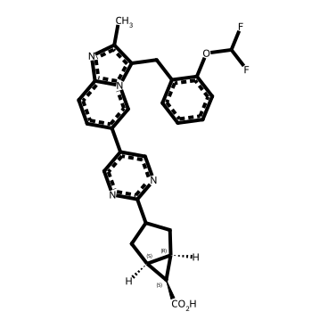 Cc1nc2ccc(-c3cnc(C4C[C@@H]5[C@H](C4)[C@@H]5C(=O)O)nc3)cn2c1Cc1ccccc1OC(F)F